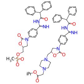 CC(C)OC(=O)CN1CCN(CC2CN(c3ccc(C(=N)NC(=O)C(c4ccccc4)c4ccccc4)cc3)C(=O)O2)CC1.CS(=O)(=O)OCC1CN(c2ccc(C(=N)NC(=O)C(c3ccccc3)c3ccccc3)cc2)C(=O)O1